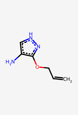 C=CCOc1n[nH]cc1N